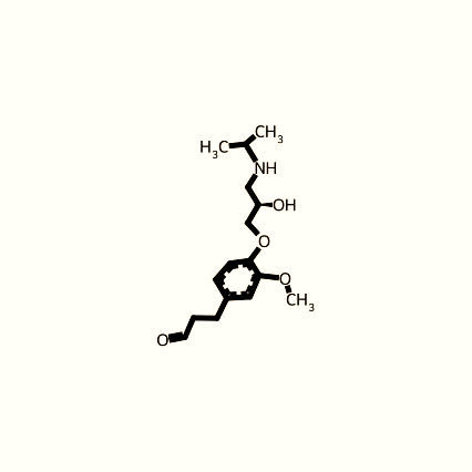 COc1cc(CCC=O)ccc1OC[C@H](O)CNC(C)C